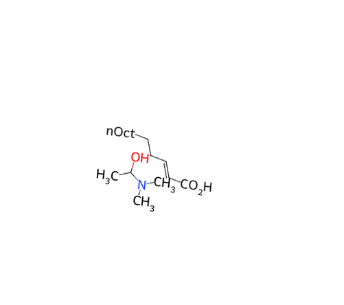 CC(O)N(C)C.CCCCCCCCCCC=CC(=O)O